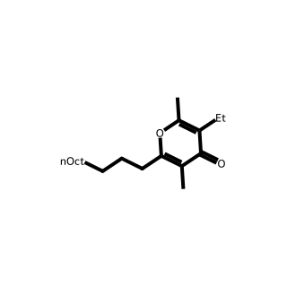 CCCCCCCCCCCc1oc(C)c(CC)c(=O)c1C